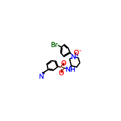 N#Cc1cccc(S(=O)(=O)NC2CCC[N+]([O-])(c3ccc(Br)cc3)C2)c1